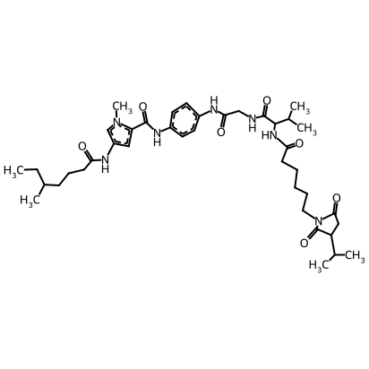 CCC(C)CCCC(=O)Nc1cc(C(=O)Nc2ccc(NC(=O)CNC(=O)C(NC(=O)CCCCCN3C(=O)CC(C(C)C)C3=O)C(C)C)cc2)n(C)c1